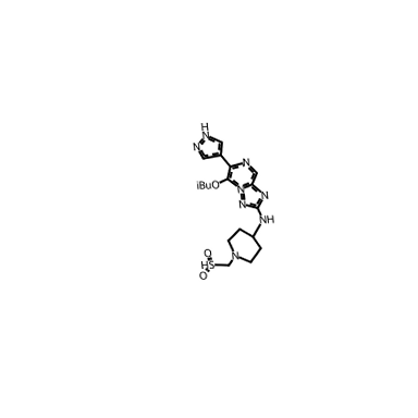 CC(C)COc1c(-c2cn[nH]c2)ncc2nc(NC3CCN(C[SH](=O)=O)CC3)nn12